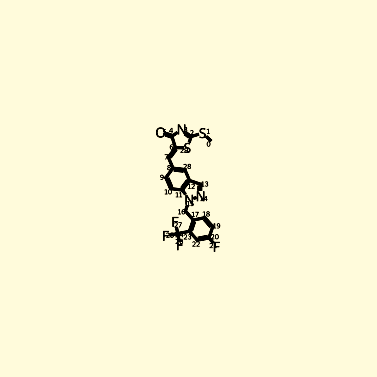 CSC1=NC(=O)C(=Cc2ccc3c(cnn3Cc3ccc(F)cc3C(F)(F)F)c2)S1